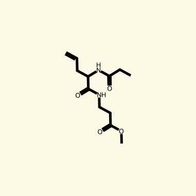 C=CCC(NC(=O)CC)C(=O)NCCC(=O)OC